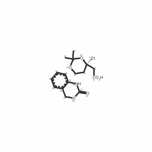 CC[C@]1(CC(=O)O)CCOC(C)(C)O1.O=C1Nc2ccccc2CO1